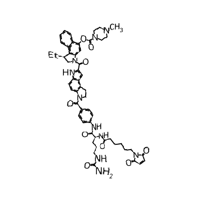 CC[C@@H]1CN(C(=O)c2cc3c4c(ccc3[nH]2)N(C(=O)c2ccc(NC(=O)[C@H](CCCNC(N)=O)NC(=O)CCCCCN3C(=O)C=CC3=O)cc2)CC4)c2cc(OC(=O)N3CCN(C)CC3)c3ccccc3c21